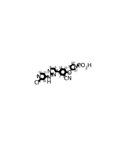 N#Cc1cc(-c2ccnc(Nc3ccnc(Cl)c3)n2)ccc1O[C@@H]1CCN(C(=O)O)C1